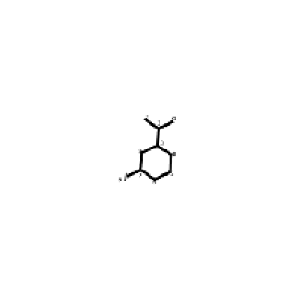 CC(C)C1CCCC(I)C1